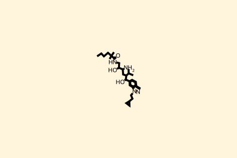 CCCCC(C)(C)C(=O)NCC(O)C(N)CC(C(C)C)C(O)c1ccc2cnn(CCC3CC3)c2c1